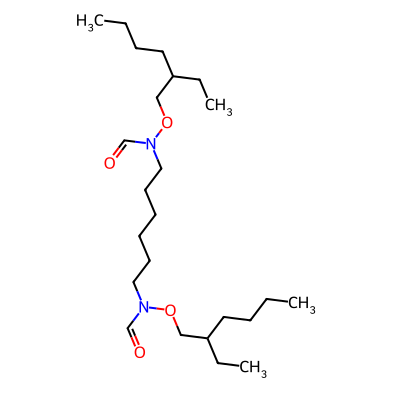 CCCCC(CC)CON(C=O)CCCCCCN(C=O)OCC(CC)CCCC